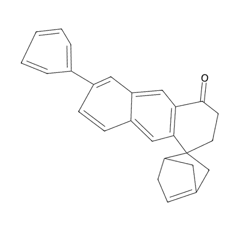 O=C1CCC2(CC3=CCC2C3)c2cc3ccc(-c4ccccc4)cc3cc21